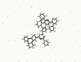 c1ccc(-c2nc(-c3ccc(-c4c(-c5ccccc5)c(-c5ccccc5)nc(-c5ccccc5)c4-c4ccccc4)cc3)cc(-c3ccc4c5ccccc5c5ccccc5c4c3)n2)cc1